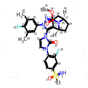 CCS(=N)(=O)c1ccc(-n2ccn(-c3c4c(nn3-c3cc(C)c(F)c(C)c3)C[C@H]3CC[C@@H]4N3C(=O)OC(C)(C)C)c2=O)c(F)c1